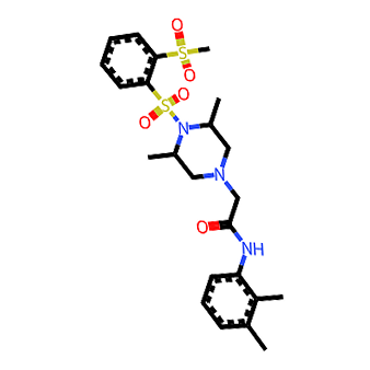 Cc1cccc(NC(=O)CN2CC(C)N(S(=O)(=O)c3ccccc3S(C)(=O)=O)C(C)C2)c1C